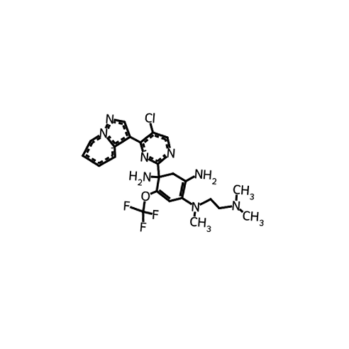 CN(C)CCN(C)C1=C(N)CC(N)(c2ncc(Cl)c(-c3cnn4ccccc34)n2)C(OC(F)(F)F)=C1